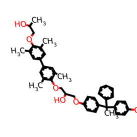 Cc1cc(-c2cc(C)c(OCC(O)COc3ccc(C(C)(c4ccccc4)c4ccc(O)cc4)cc3)c(C)c2)cc(C)c1OCC(C)O